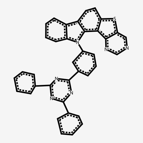 c1ccc(-c2nc(-c3ccccc3)nc(-c3cccc(-n4c5ccccc5c5ccc6sc7cncnc7c6c54)c3)n2)cc1